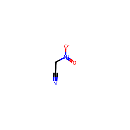 N#C[CH][N+](=O)[O-]